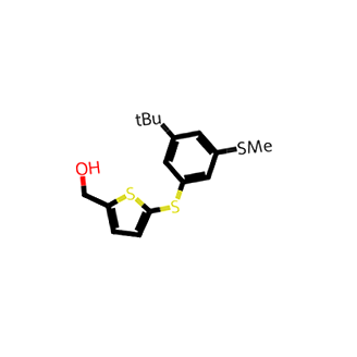 CSc1cc(Sc2ccc(CO)s2)cc(C(C)(C)C)c1